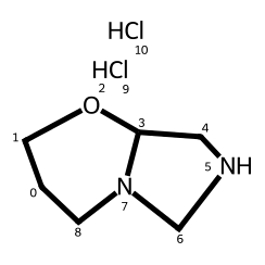 C1COC2CNCN2C1.Cl.Cl